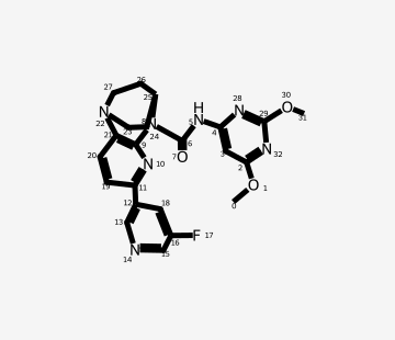 COc1cc(NC(=O)N2c3nc(-c4cncc(F)c4)ccc3N3CCC2CC3)nc(OC)n1